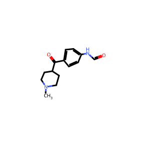 CN1CCC(C(=O)c2ccc(NC=O)cc2)CC1